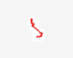 Cc1ncsc1-c1ccc([C@H](C)NC(=O)[C@@H]2C[C@@H](O)CN2C(=O)[C@H](NC(=O)CCOCCOCCOCCOCCNC(=O)c2cc(Oc3ccc(NC(=O)Nc4ccc(Cl)c(C(F)(F)F)c4)cc3)ccn2)C(C)(C)C)cc1